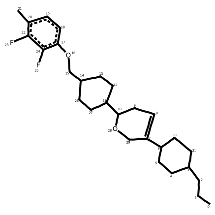 CCCC1CCC(C2=CCC(C3CCC(COc4ccc(C)c(F)c4F)CC3)OC2)CC1